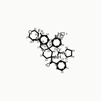 Cl.O.O=C(NC1(C(=O)c2ccccc2)CCN(CCN2CCOCC2)C(c2ccccc2)(c2ccc(F)c(F)c2)C1)N1CCCC1